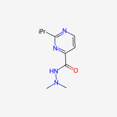 CC(C)c1nccc(C(=O)NN(C)C)n1